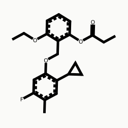 CCOc1cccc(OC(=O)CC)c1COc1cc(F)c(C)cc1C1CC1